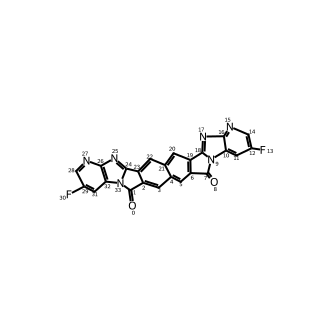 O=c1c2cc3cc4c(=O)n5c6cc(F)cnc6nc5c4cc3cc2c2nc3ncc(F)cc3n12